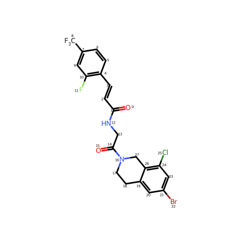 O=C(/C=C/c1ccc(C(F)(F)F)cc1F)NCC(=O)N1CCc2cc(Br)cc(Cl)c2C1